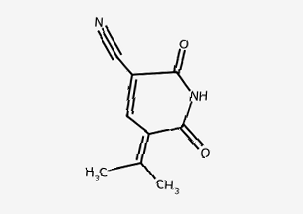 CC(C)=C1C=C(C#N)C(=O)NC1=O